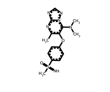 Cc1nc2ncnn2c(N(C)C)c1Oc1ccc(S(C)(=N)=O)cc1